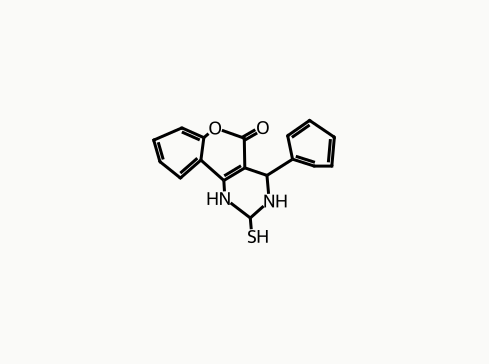 O=c1oc2ccccc2c2c1C(c1ccccc1)NC(S)N2